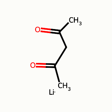 CC(=O)CC(C)=O.[Li]